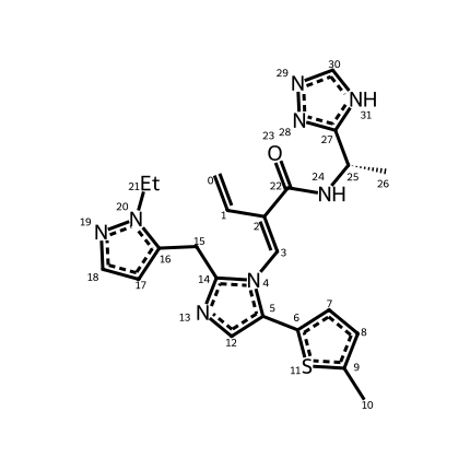 C=C/C(=C\n1c(-c2ccc(C)s2)cnc1Cc1ccnn1CC)C(=O)N[C@@H](C)c1nnc[nH]1